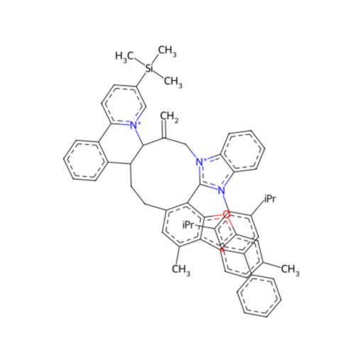 C=C1C[n+]2c(n(-c3c(C(C)C)cc(-c4ccccc4)cc3C(C)C)c3ccccc32)-c2c(cc(C)c3c2oc2cc(C)ccc23)CCC2c3ccccc3-c3ccc([Si](C)(C)C)c[n+]3C12